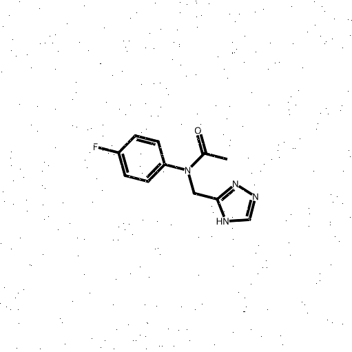 CC(=O)N(Cc1nnc[nH]1)c1ccc(F)cc1